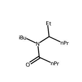 CCCC(=O)N(C(C)CC)C(CC)CCC